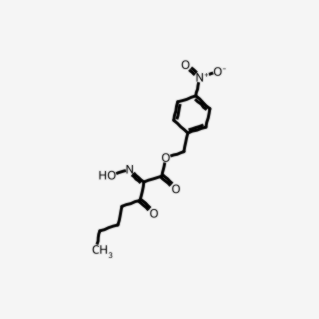 CCCCC(=O)C(=NO)C(=O)OCc1ccc([N+](=O)[O-])cc1